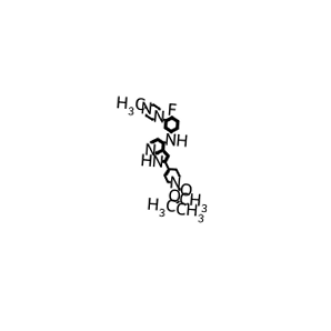 CN1CCN(c2cc(Nc3ccnc4[nH]c(C5=CCN(C(=O)OC(C)(C)C)CC5)cc34)ccc2F)CC1